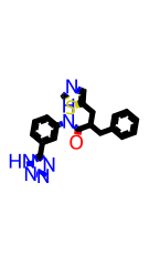 O=C(Nc1cccc(-c2nnn[nH]2)c1)C(Cc1ccccc1)Cc1cncs1